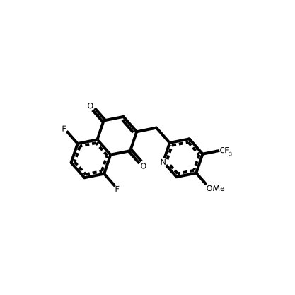 COc1cnc(CC2=CC(=O)c3c(F)ccc(F)c3C2=O)cc1C(F)(F)F